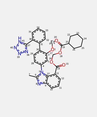 CCOc1cc(-n2c(C)nc3cccc(C(=O)OCOC(=O)C4CCCCC4)c32)ccc1-c1ccccc1-c1nnn[nH]1